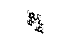 CCN(CCN(C)c1nc(C)cc(C)n1)C(=O)c1ccc(F)cc1-n1nccn1